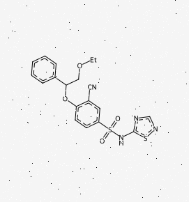 CCOCC(Oc1ccc(S(=O)(=O)Nc2ncns2)cc1C#N)c1ccccc1